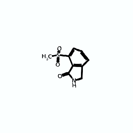 CS(=O)(=O)c1cccc2c1C(=O)NC2